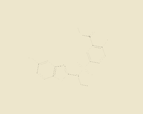 CCN(c1nc2cc(Cl)ccc2o1)S(=O)(=O)c1ccc(C)c(C(=O)OC)c1